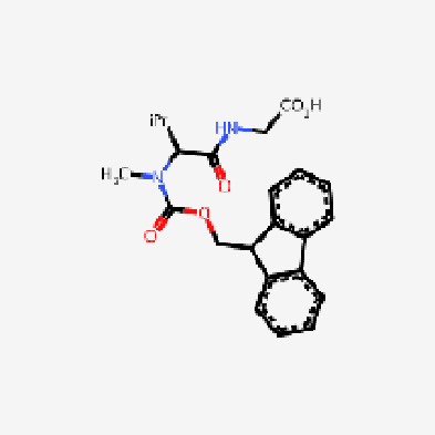 CC(C)C(C(=O)NCC(=O)O)N(C)C(=O)OCC1c2ccccc2-c2ccccc21